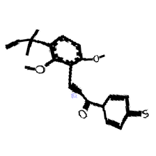 C=CC(C)(C)c1ccc(OC)c(/C=C/C(=O)C2C=CC(=S)C=C2)c1OC